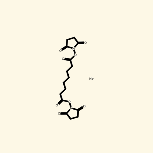 O=C(CCCCCCC(=O)ON1C(=O)CCC1=O)ON1C(=O)CCC1=O.[Na]